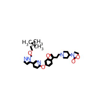 C[Si](C)(C)CCOCn1nccc1-c1ccc(Oc2ccc3c(CCN4CCC(N5CCOC5=O)CC4)coc3c2)nc1